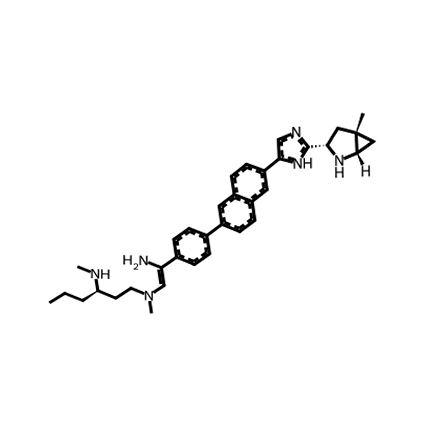 CCC[C@H](CCN(C)/C=C(\N)c1ccc(-c2ccc3cc(-c4cnc([C@@H]5C[C@]6(C)C[C@@H]6N5)[nH]4)ccc3c2)cc1)NC